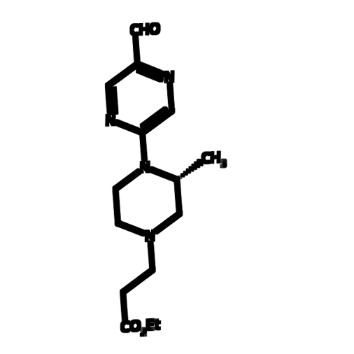 CCOC(=O)CCN1CCN(c2cnc(C=O)cn2)[C@H](C)C1